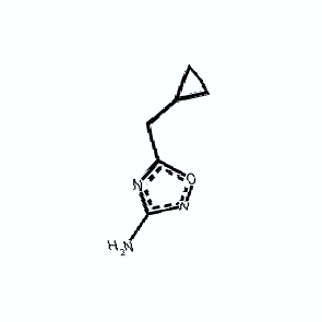 Nc1noc(CC2CC2)n1